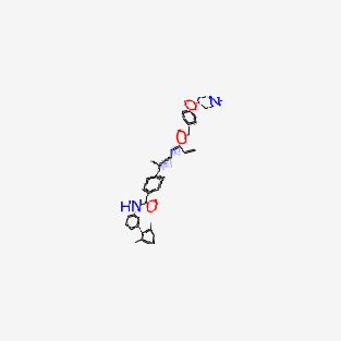 C=C/C(=C\C=C(/C)c1ccc(C(=O)Nc2cccc(-c3c(C)cccc3C)c2)cc1)OCc1ccc(OC2CCN(C)CC2)cc1